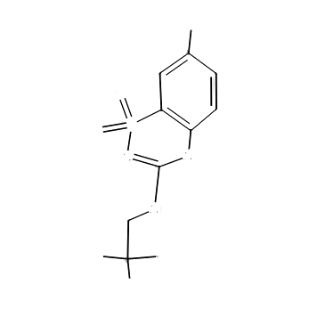 O=S1(=O)N=C(NCC(F)(F)F)Nc2ccc(F)cc21